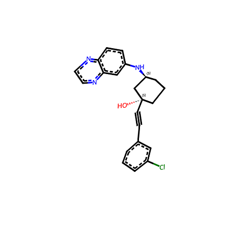 O[C@@]1(C#Cc2cccc(Cl)c2)CCC[C@H](Nc2ccc3nccnc3c2)C1